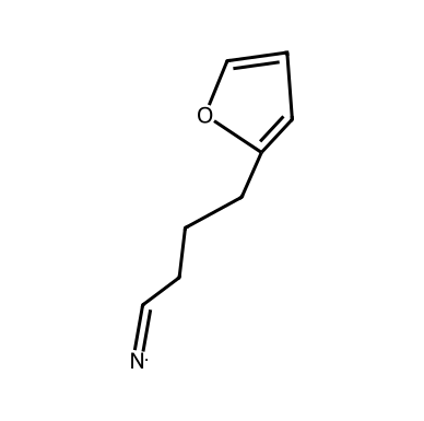 [N]=CCCCc1ccco1